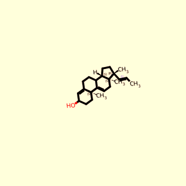 C/C=C/[C@@]1(C)CC[C@H]2C3CCC4=CC(O)CC[C@]4(C)C3=CC[C@@]21C